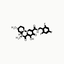 C[C@@H]1CCN2[C@@H](C1)N(C)C(=O)c1c(O)c(=O)c(C(=O)NCc3c(F)cc(F)cc3F)cn12